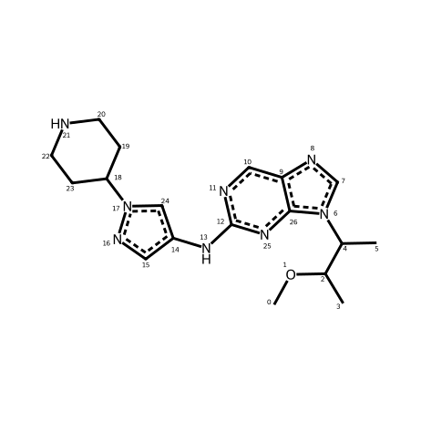 COC(C)C(C)n1cnc2cnc(Nc3cnn(C4CCNCC4)c3)nc21